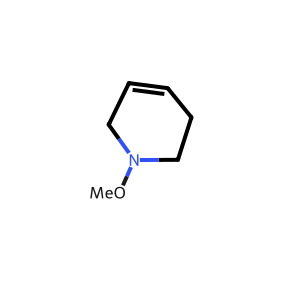 CON1CC=CCC1